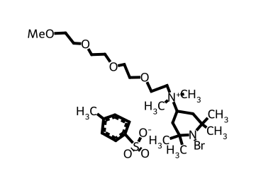 COCCOCCOCCOCC[N+](C)(C)C1CC(C)(C)N(Br)C(C)(C)C1.Cc1ccc(S(=O)(=O)[O-])cc1